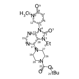 CCn1c(=O)n(-c2ccc(=O)n(C)c2)c2ncnc(N3CCN(C(=O)OC(C)(C)C)CC3)c21